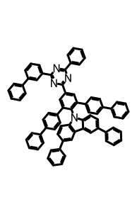 c1ccc(-c2ccc(-c3cc(-c4nc(-c5ccccc5)nc(-c5cccc(-c6ccccc6)c5)n4)cc(-c4ccc(-c5ccccc5)cc4)c3-n3c4ccc(-c5ccccc5)cc4c4cc(-c5ccccc5)ccc43)cc2)cc1